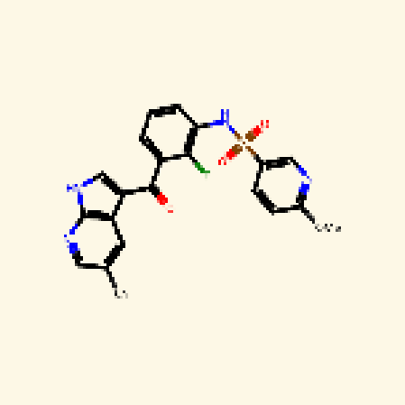 COc1ccc(S(=O)(=O)Nc2cccc(C(=O)c3c[nH]c4ncc(C#N)cc34)c2F)cn1